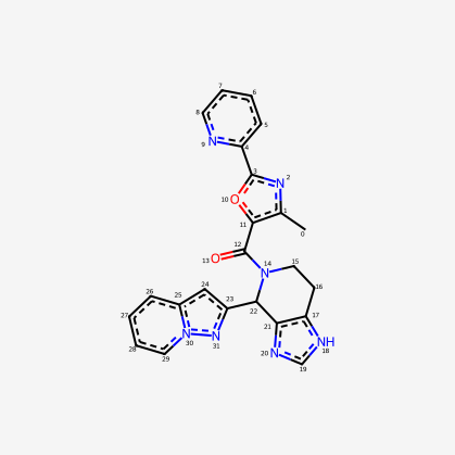 Cc1nc(-c2ccccn2)oc1C(=O)N1CCc2[nH]cnc2C1c1cc2ccccn2n1